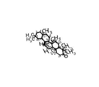 CC1(C)CC[C@]2(C)CC[C@]3(C)C(=CCC4[C@@]5(C)CCC(=O)C(C)(C)C5CC[C@]43C)C2C1